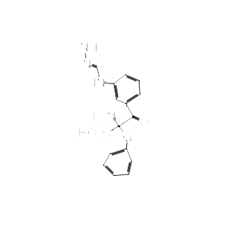 NN=CNc1cccc(C(=O)C(N)(Oc2ccccc2)C(=O)O)c1